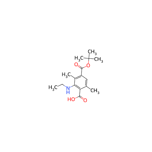 CCNc1c(C)c(C(=O)OC(C)(C)C)cc(C)c1C(=O)O